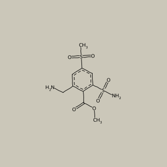 COC(=O)c1c(CN)cc(S(C)(=O)=O)cc1S(N)(=O)=O